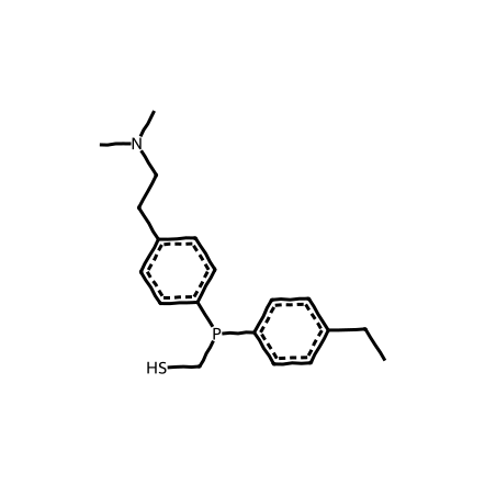 CCc1ccc(P(CS)c2ccc(CCN(C)C)cc2)cc1